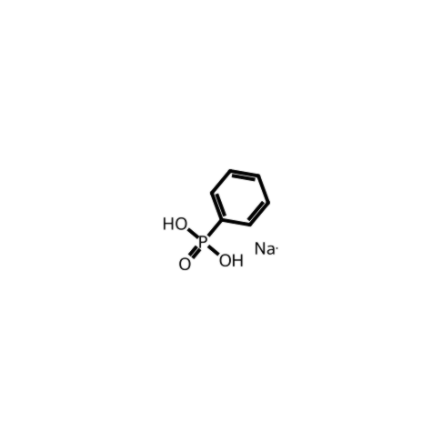 O=P(O)(O)c1ccccc1.[Na]